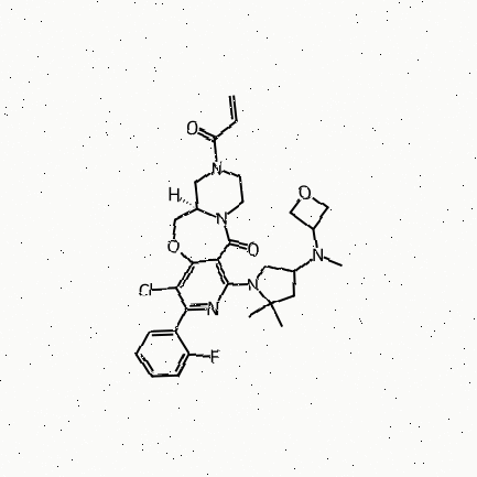 C=CC(=O)N1CCN2C(=O)c3c(N4CC(N(C)C5COC5)CC4(C)C)nc(-c4ccccc4F)c(Cl)c3OC[C@H]2C1